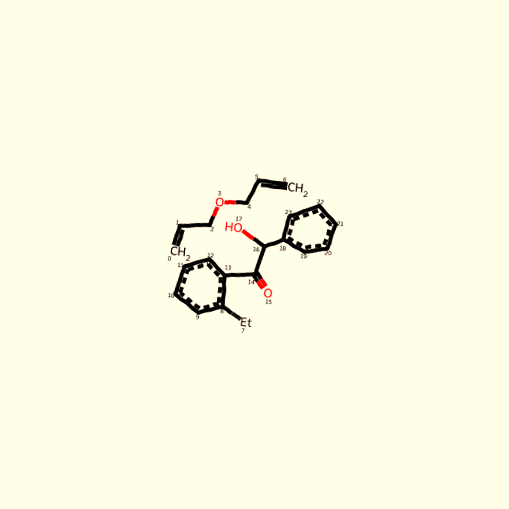 C=CCOCC=C.CCc1ccccc1C(=O)C(O)c1ccccc1